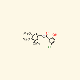 COc1cc(/C=C/C(=O)c2cc(Cl)ccc2O)cc(OC)c1OC